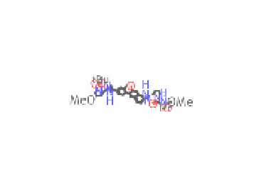 COC[C@H]1CC(c2ncc(-c3ccc4c(c3)COc3cc5c(ccc6nc([C@@H]7CC[C@H](C)N7C(=O)[C@@H](NC(=O)OC)C(C)C)[nH]c65)cc3-4)[nH]2)N(C(=O)OC(C)(C)C)C1